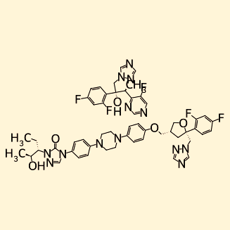 CC[C@@H]([C@H](C)O)n1ncn(-c2ccc(N3CCN(c4ccc(OC[C@@H]5CO[C@@](Cn6cncn6)(c6ccc(F)cc6F)C5)cc4)CC3)cc2)c1=O.C[C@@H](c1ncncc1F)[C@](O)(Cn1cncn1)c1ccc(F)cc1F